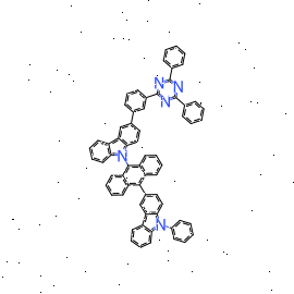 c1ccc(-c2nc(-c3ccccc3)nc(-c3cccc(-c4ccc5c(c4)c4ccccc4n5-c4c5ccccc5c(-c5ccc6c(c5)c5ccccc5n6-c5ccccc5)c5ccccc45)c3)n2)cc1